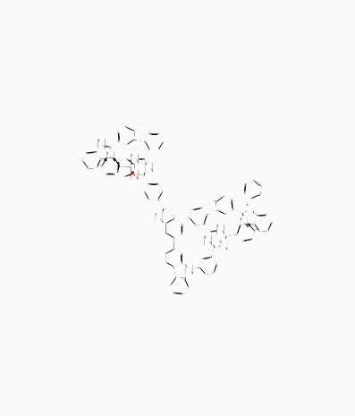 c1ccc(-c2nc(-c3ccc(-c4nc5cc(-c6ccc7c8ccccc8n(-c8cccc(-c9nc(-c%10ccccc%10)nc(-c%10cccc%11sc%12ccc(-c%13nc%14ccccc%14n%13-c%13ccccc%13)cc%12c%10%11)n9)c8)c7c6)ccc5s4)cc3)nc(-c3cccc4sc5ccc(-c6nc7ccccc7n6-c6ccccc6)cc5c34)n2)cc1